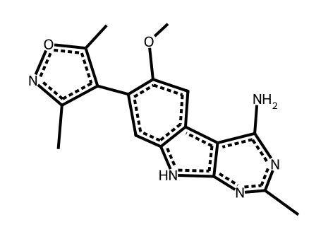 COc1cc2c(cc1-c1c(C)noc1C)[nH]c1nc(C)nc(N)c12